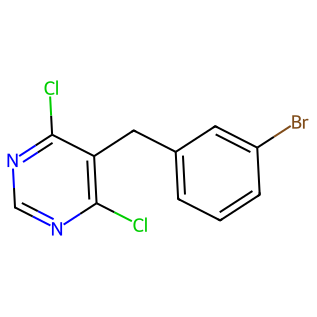 Clc1ncnc(Cl)c1Cc1cccc(Br)c1